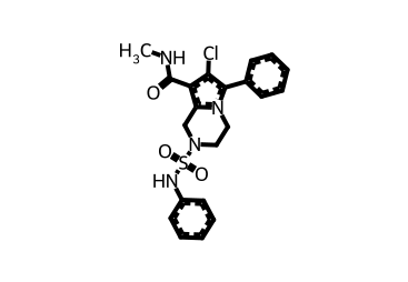 CNC(=O)c1c(Cl)c(-c2ccccc2)n2c1CN(S(=O)(=O)Nc1ccccc1)CC2